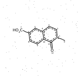 Cn1ccc2cc(C(=O)O)ccc2c1=O